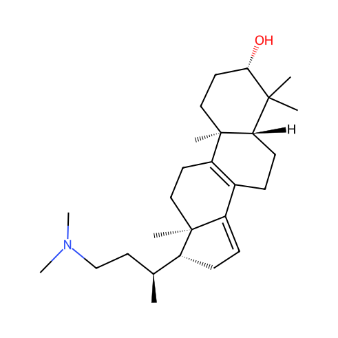 C[C@@H](CCN(C)C)[C@H]1CC=C2C3=C(CC[C@@]21C)[C@@]1(C)CC[C@H](O)C(C)(C)[C@@H]1CC3